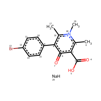 Cc1c(C(=O)O)c(=O)c(-c2ccc(Br)cc2)c(C)n1C.[NaH]